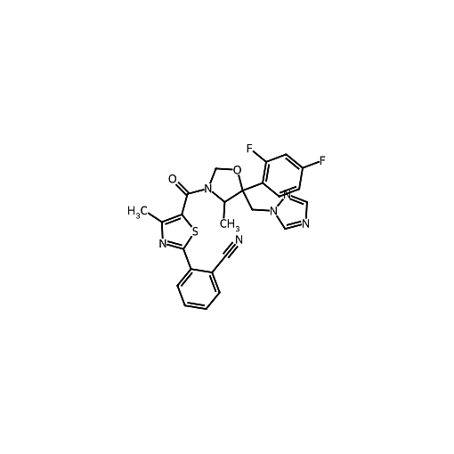 Cc1nc(-c2ccccc2C#N)sc1C(=O)N1COC(Cn2cncn2)(c2ccc(F)cc2F)C1C